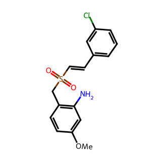 COc1ccc(CS(=O)(=O)C=Cc2cccc(Cl)c2)c(N)c1